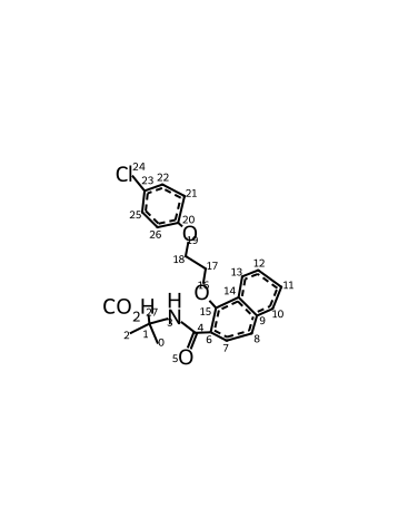 CC(C)(NC(=O)c1ccc2ccccc2c1OCCOc1ccc(Cl)cc1)C(=O)O